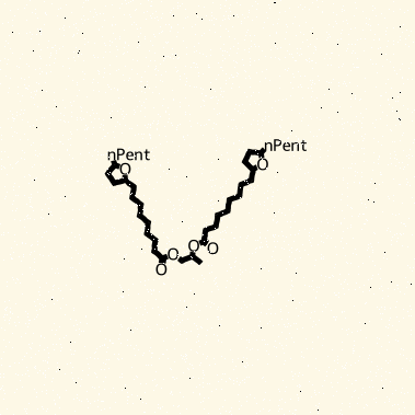 CCCCCC1CCC(CCCCCCCCC(=O)OCC(C)OC(=O)CCCCCCCCC2CCC(CCCCC)O2)O1